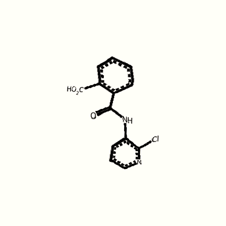 O=C(O)c1ccccc1C(=O)Nc1cccnc1Cl